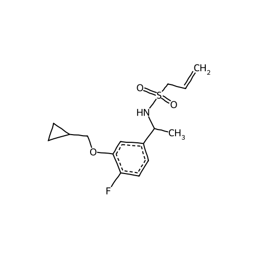 C=CCS(=O)(=O)NC(C)c1ccc(F)c(OCC2CC2)c1